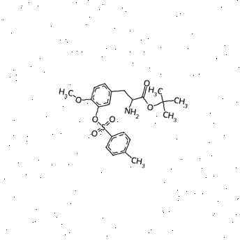 COc1ccc(CC(N)C(=O)OC(C)(C)C)cc1OS(=O)(=O)c1ccc(C)cc1